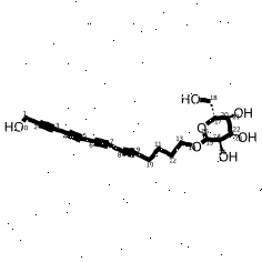 OCC#CC#CC#CC#CCCCCOC1O[C@H](CO)[C@@H](O)[C@H](O)[C@H]1O